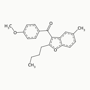 CCCCc1oc2ccc(C)cc2c1C(=O)c1ccc(OC)cc1